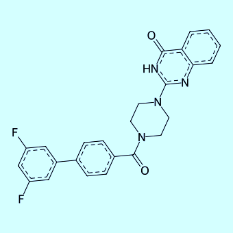 O=C(c1ccc(-c2cc(F)cc(F)c2)cc1)N1CCN(c2nc3ccccc3c(=O)[nH]2)CC1